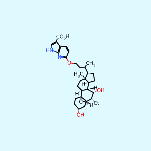 CC[C@H]1[C@@H](O)[C@@H]2[C@H](CC[C@]3(C)[C@@H]([C@H](C)CCOc4ccc5c(C(=O)O)c[nH]c5n4)CC[C@@H]23)[C@@]2(C)CC[C@@H](O)C[C@@H]12